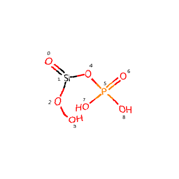 O=[Si](OO)OP(=O)(O)O